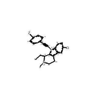 CCC1c2c(c3cc(Cl)ccc3n2C#Cc2ccc(F)cc2)CCN1C